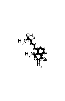 CC(C)CCCCc1cccc(C(N)=O)c1C(N)=O